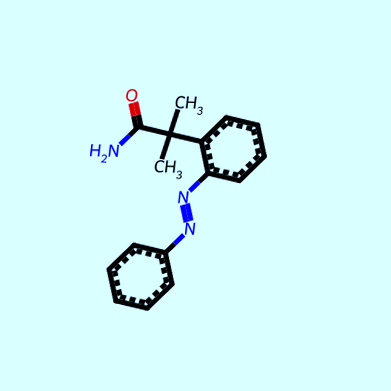 CC(C)(C(N)=O)c1ccccc1N=Nc1ccccc1